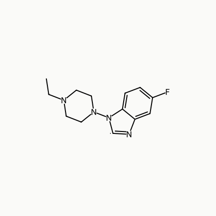 CCN1CCN(n2[c]nc3cc(F)ccc32)CC1